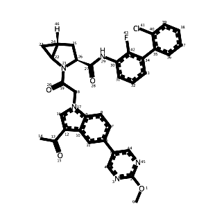 COc1ncc(-c2ccc3c(c2)c(C(C)=O)cn3CC(=O)N2C3C[C@@H]3C[C@H]2C(=O)Nc2cccc(-c3ccccc3Cl)c2F)cn1